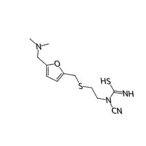 CN(C)Cc1ccc(CSCCN(C#N)C(=N)S)o1